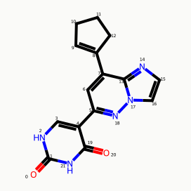 O=c1[nH]cc(-c2cc(C3=CCCC3)c3nccn3n2)c(=O)[nH]1